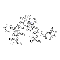 C/C(=C\[C@H](C(C)C)N(C)C(=O)C(NC(=O)[C@@H](N(C)C(=O)OC(C)(C)C)C(C)(C)c1ccccc1)C(C)(C)C)C(=O)N[C@H](CCC(=O)ON1C(=O)CCC1=O)C(=O)OC(C)(C)C